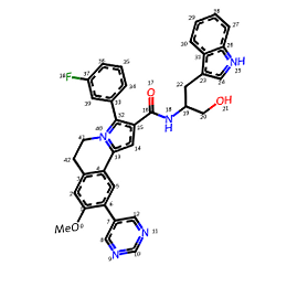 COc1cc2c(cc1-c1cncnc1)-c1cc(C(=O)NC(CO)Cc3c[nH]c4ccccc34)c(-c3cccc(F)c3)n1CC2